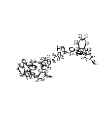 C#Cc1ccc(NC(=O)c2ccccc2C(=O)OCC(O)COCCCCOCC(O)COC(=O)c2ccccc2C(=O)Nc2ccc(C#C)cc2)cc1